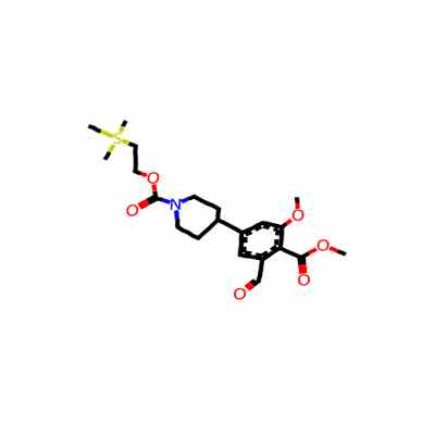 COC(=O)c1c(C=O)cc(C2CCN(C(=O)OCCS(C)(C)C)CC2)cc1OC